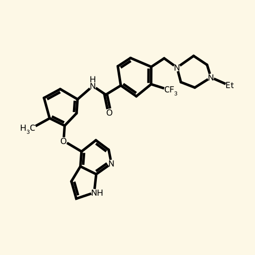 CCN1CCN(Cc2ccc(C(=O)Nc3ccc(C)c(Oc4ccnc5[nH]ccc45)c3)cc2C(F)(F)F)CC1